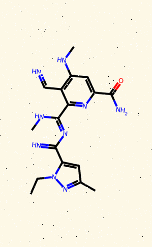 CCn1nc(C)cc1C(=N)/N=C(\NC)c1nc(C(N)=O)cc(NC)c1C=N